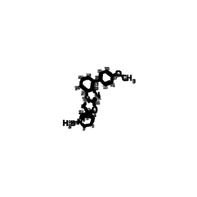 [BH3-][N+]12CCC(CC1)C1(Cn3c(nc4c(-c5ccc(OC)cc5)cccc43)O1)C2